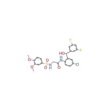 COc1ccc(S(=O)(=O)NCC(=O)Nc2ccc(Cl)cc2C(O)c2cc(F)cc(F)c2)cc1OC